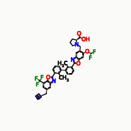 Cc1c(-c2nc3cc(CN4CCC[C@H]4C(=O)O)c(OC(F)F)cc3o2)cccc1-c1cccc(-c2nc3cc(CN4CC5CC4C5)cc(C(F)(F)F)c3o2)c1C